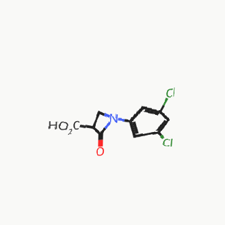 O=C(O)C1CN(c2cc(Cl)cc(Cl)c2)C1=O